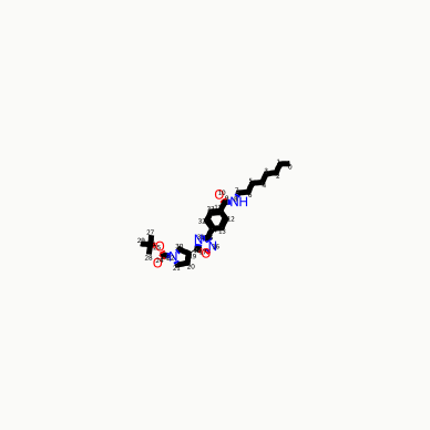 CCCCCCCCNC(=O)c1ccc(-c2noc([C@@H]3CCN(C(=O)OC(C)(C)C)C3)n2)cc1